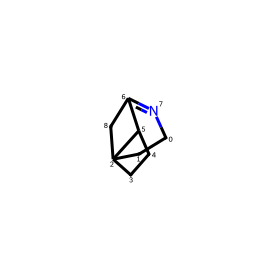 C1CC23CCC2C(=N1)C3